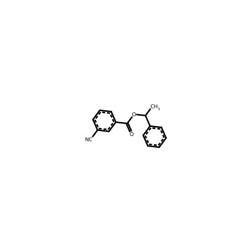 CC(OC(=O)c1cccc(C#N)c1)c1ccccc1